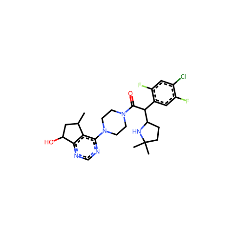 CC1CC(O)c2ncnc(N3CCN(C(=O)C(c4cc(F)c(Cl)cc4F)C4CCC(C)(C)N4)CC3)c21